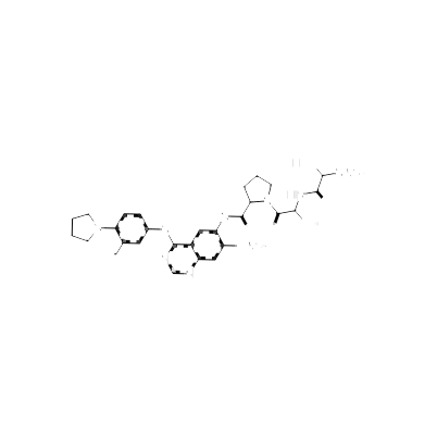 CNC(C)C(=O)NC(C(=O)N1CCCC1C(=O)Nc1cc2c(Nc3ccc(N4CCCC4)c(Cl)c3)ncnc2cc1OC)C(C)(C)C